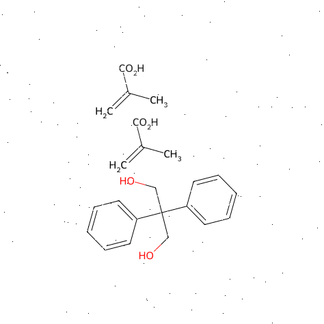 C=C(C)C(=O)O.C=C(C)C(=O)O.OCC(CO)(c1ccccc1)c1ccccc1